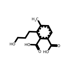 Cc1ccc(C(=O)O)c(C(=O)O)c1CCCO